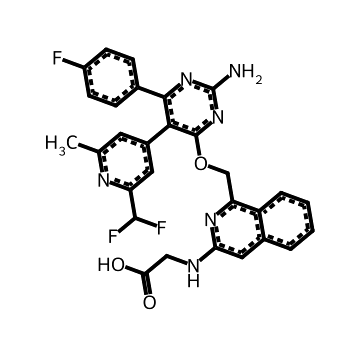 Cc1cc(-c2c(OCc3nc(NCC(=O)O)cc4ccccc34)nc(N)nc2-c2ccc(F)cc2)cc(C(F)F)n1